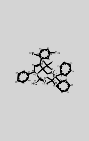 CC(C)(C)C1(CO[Si](c2ccccc2)(c2ccccc2)C(C)(C)C)C(c2cc(F)ccc2F)=CC(c2ccccc2)N1C(=O)O